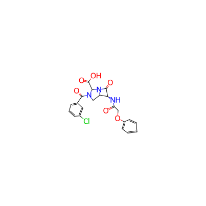 O=C(COc1ccccc1)N[C@@H]1C(=O)N2C1CN(C(=O)c1cccc(Cl)c1)C2C(=O)O